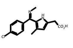 CN=C(c1ccc(Cl)cc1)c1[nH]c(CC(=O)O)cc1C